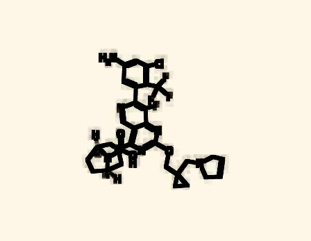 Nc1cc(Cl)c(C(F)(F)F)c(-c2ncc3c(N4C[C@H]5CC[C@@H](C4)N5C(=O)O)nc(OCC4(CN5CC=CC5)CC4)nc3c2F)c1